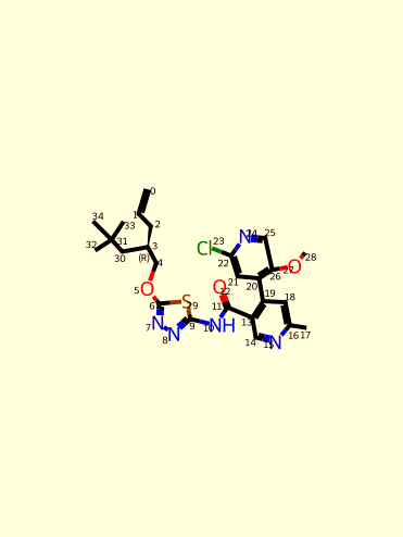 C=CC[C@@H](COc1nnc(NC(=O)c2cnc(C)cc2-c2cc(Cl)ncc2OC)s1)CC(C)(C)C